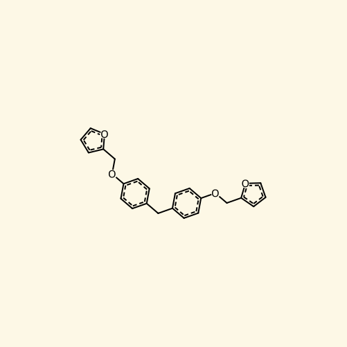 c1coc(COc2ccc(Cc3ccc(OCc4ccco4)cc3)cc2)c1